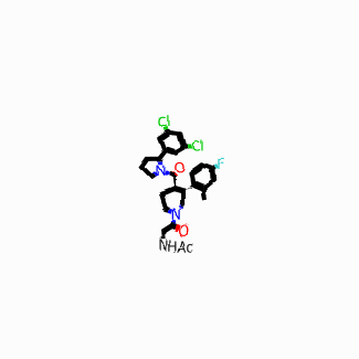 CC(=O)NCC(=O)N1CC[C@@H](C(=O)N2CCCC2c2cc(Cl)cc(Cl)c2)[C@H](c2ccc(F)cc2C)C1